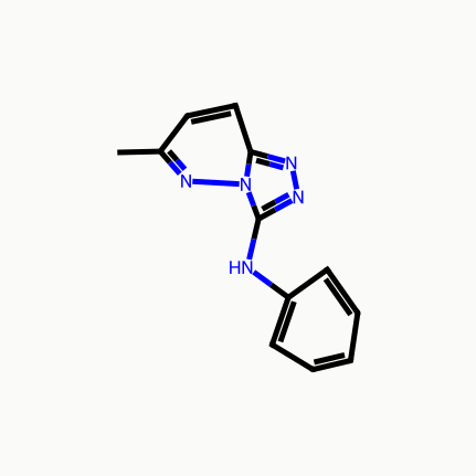 Cc1ccc2nnc(Nc3ccccc3)n2n1